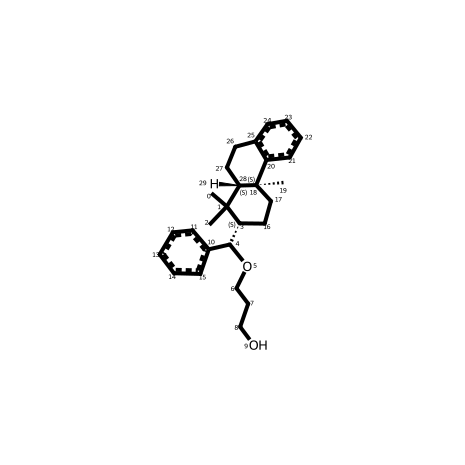 CC1(C)[C@@H](C(OCCCO)c2ccccc2)CC[C@]2(C)c3ccccc3CC[C@@H]12